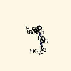 CC(C)(C)[Si](C)(C)O[C@H](/C=C/[C@H]1CC[C@H]2C/C(=C\CCC(=O)C(=O)O)C[C@@H]21)C1CCCCC1